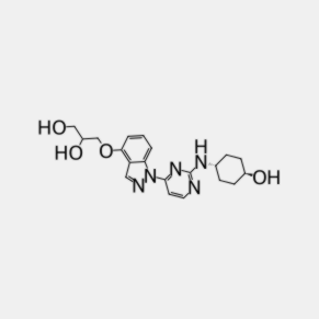 OCC(O)COc1cccc2c1cnn2-c1ccnc(N[C@H]2CC[C@H](O)CC2)n1